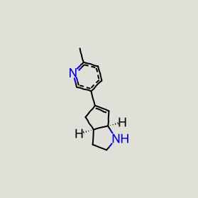 Cc1ccc(C2=C[C@H]3NCC[C@H]3C2)cn1